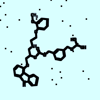 COc1ccccc1OCCNCC(COc1cccc2[nH]c3ccccc3c12)OC(=O)OCc1cccc(CON(O)O)c1